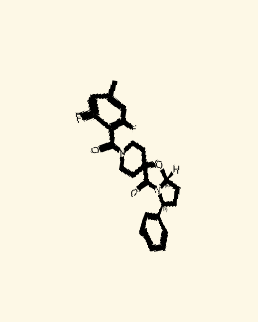 Cc1cc(F)c(C(=O)N2CCC3(CC2)O[C@@H]2CC[C@@H](c4ccccc4)N2C3=O)c(F)c1